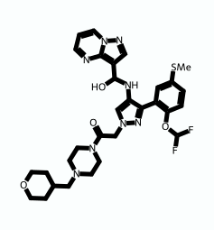 CSc1ccc(OC(F)F)c(-c2nn(CC(=O)N3CCN(CC4CCOCC4)CC3)cc2NC(O)c2cnn3cccnc23)c1